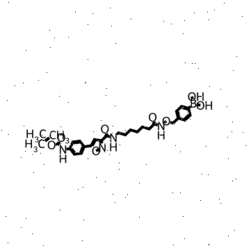 CC(C)(C)OC(=O)Nc1ccc(-c2cc(C(=O)NCCCCCCC(=O)NOCc3ccc(B(O)O)cc3)no2)cc1